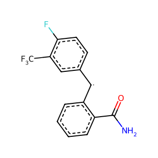 NC(=O)c1ccccc1[CH]c1ccc(F)c(C(F)(F)F)c1